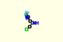 FC(F)(F)c1ccc(-c2ccc3c(c2)CNCC3c2ccc(Cl)cc2)nn1